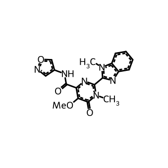 COc1c(C(=O)Nc2cnoc2)nc(-c2nc3ccccc3n2C)n(C)c1=O